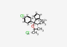 CCC(OC(C)C)(C1=[C]([Ti+2])CC=C1)c1ccccc1.[Cl-].[Cl-]